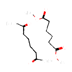 CC(C)COC(=O)CCCCC(=O)OCC(C)C.CCCCOC(=O)CCCCC(=O)OCCCC